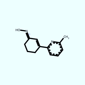 Cc1cccc(C2=C/C(=N/O)CCC2)n1